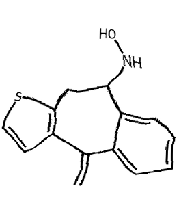 C=C1c2ccccc2C(NO)Cc2sccc21